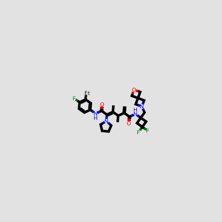 C=C(C(=O)NC1(CN2CC3(COC3)C2)CC(F)(F)C1)C(C)/C(C)=C(/C(=O)Nc1ccc(F)c(CC)c1)N1CCCC1